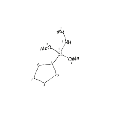 CO[Si](NC(C)(C)C)(OC)C1CCCC1